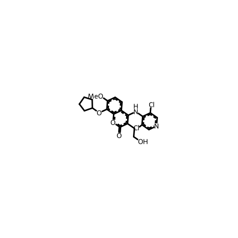 COc1ccc2c(Nc3c(Cl)cncc3Cl)c(CCO)c(=O)oc2c1OC1CCCC1